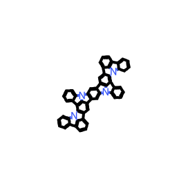 C1=CCC2C(=C1)c1cccc3c4cc5c6cc7c(cc6n6c8ccccc8c(c4n2c13)c56)c1cc2c3cccc4c5ccccc5n(c43)c2c2c3ccccc3n7c12